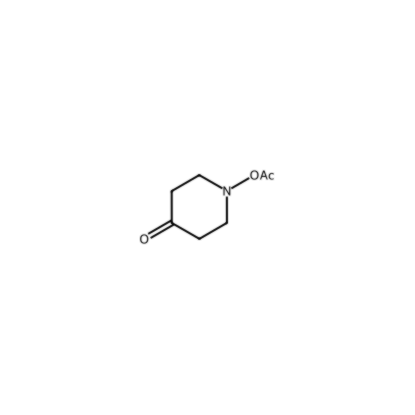 CC(=O)ON1CCC(=O)CC1